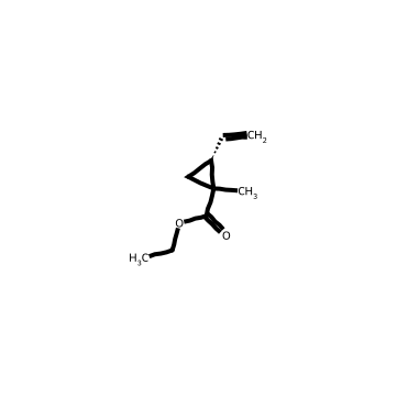 C=C[C@H]1CC1(C)C(=O)OCC